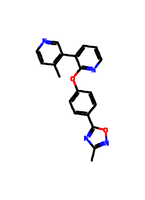 Cc1noc(-c2ccc(Oc3ncccc3-c3cnccc3C)cc2)n1